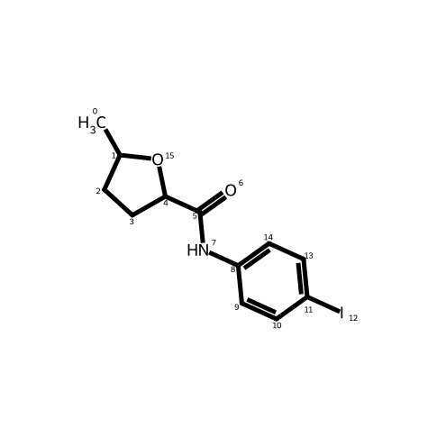 CC1CCC(C(=O)Nc2ccc(I)cc2)O1